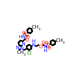 Cc1ccc(S(=O)(=O)NC(=O)OCCNc2ccc(Cn3c(C)nc4ccc(C(=O)NS(=O)(=O)c5ccc(C)cc5)nc43)c(Cl)c2)cc1